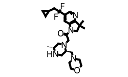 C[C@@H]1CN(CC(=O)N2CC(C)(C)c3ncc(C(F)(F)CC4CC4)cc32)[C@@H](CN2CCOCC2)CN1